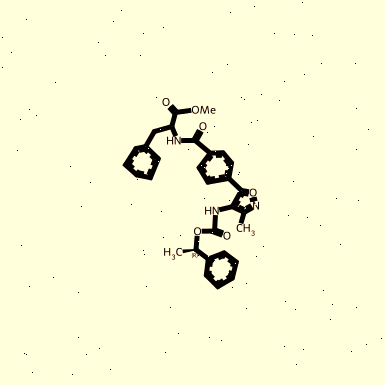 COC(=O)C(Cc1ccccc1)NC(=O)c1ccc(-c2onc(C)c2NC(=O)O[C@H](C)c2ccccc2)cc1